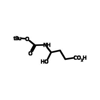 CC(C)(C)OC(=O)NC(O)CCC(=O)O